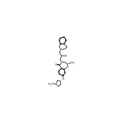 C[C@@H]1CN(CC(O)CN2CCc3ccccc3C2)C(=O)c2ccc(O[C@@H]3CCN(C)C3)cc2O1